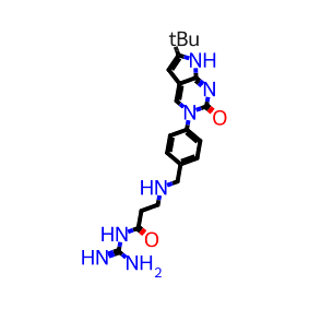 CC(C)(C)c1cc2cn(-c3ccc(CNCCC(=O)NC(=N)N)cc3)c(=O)nc2[nH]1